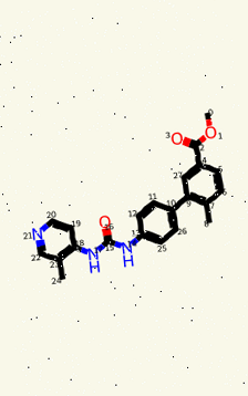 COC(=O)c1ccc(C)c(-c2ccc(NC(=O)Nc3ccncc3C)cc2)c1